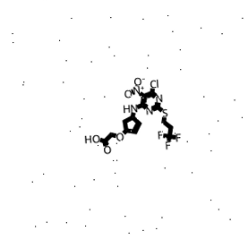 O=C(O)COC1C=CC(Nc2nc(SCCC(F)(F)F)nc(Cl)c2[N+](=O)[O-])C1